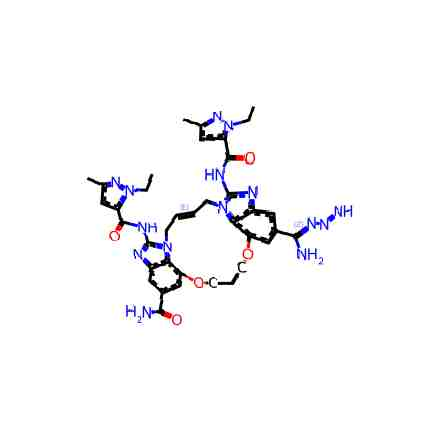 CCn1nc(C)cc1C(=O)Nc1nc2cc(C(N)=O)cc3c2n1C/C=C/Cn1c(NC(=O)c2cc(C)nn2CC)nc2cc(/C(N)=N/N=N)cc(c21)OCCCO3